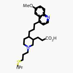 CCCSCCCN1CCC(CCCc2ccnc3ccc(OC)cc23)C(CCC(=O)O)C1